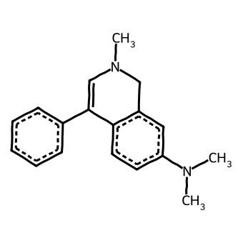 CN1C=C(c2ccccc2)c2ccc(N(C)C)cc2C1